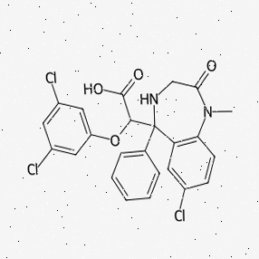 CN1C(=O)CNC(c2ccccc2)(C(Oc2cc(Cl)cc(Cl)c2)C(=O)O)c2cc(Cl)ccc21